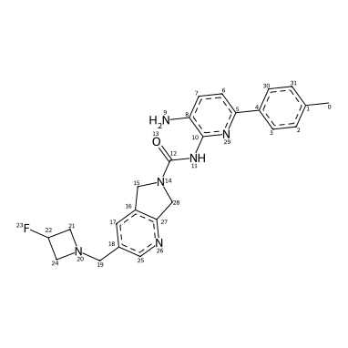 Cc1ccc(-c2ccc(N)c(NC(=O)N3Cc4cc(CN5CC(F)C5)cnc4C3)n2)cc1